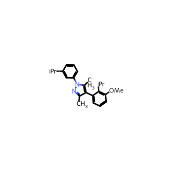 COc1cccc(-c2c(C)nn(-c3cccc(C(C)C)c3)c2C)c1C(C)C